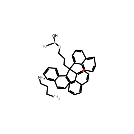 CCCCN.OB(O)OCCCC(c1cccc2ccccc12)(c1cccc2ccccc12)c1cccc2ccccc12